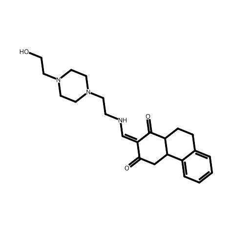 O=C1CC2c3ccccc3CCC2C(=O)/C1=C\NCCN1CCN(CCO)CC1